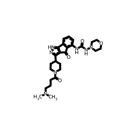 CN(C)CCCC(=O)N1CCC(c2n[nH]c3c2C(=O)c2c(NC(=O)NN4CCOCC4)cccc2-3)CC1